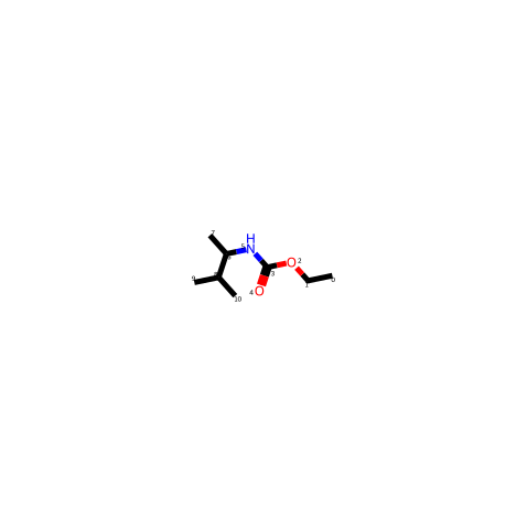 CCOC(=O)NC(C)C(C)C